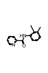 Cc1cccc(NC(=O)c2ccccn2)c1C